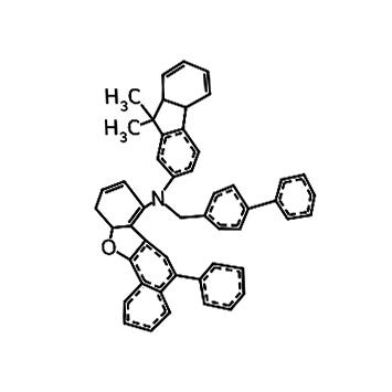 CC1(C)c2cc(N(Cc3ccc(-c4ccccc4)cc3)C3=C4c5cc(-c6ccccc6)c6ccccc6c5OC4CC=C3)ccc2C2C=CC=CC21